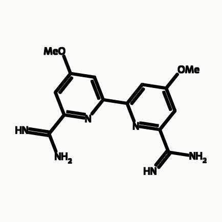 COc1cc(C(=N)N)nc(-c2cc(OC)cc(C(=N)N)n2)c1